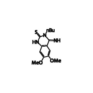 CCCCn1c(=S)[nH]c2cc(OC)c(OC)cc2c1=N